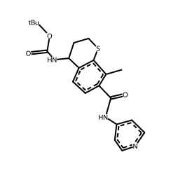 Cc1c(C(=O)Nc2ccncc2)ccc2c1SCCC2NC(=O)OC(C)(C)C